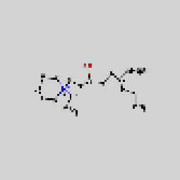 C=CCCC(CCCCCCC)CCC(O)CC[N+]1(CC=C)CCCCC1